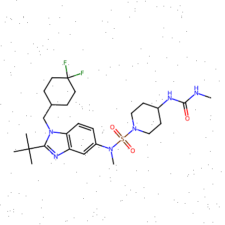 CNC(=O)NC1CCN(S(=O)(=O)N(C)c2ccc3c(c2)nc(C(C)(C)C)n3CC2CCC(F)(F)CC2)CC1